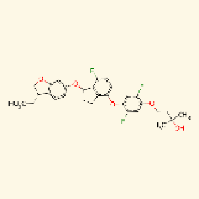 CC(C)(O)CCOc1cc(F)c(Oc2ccc(F)c3c2CC[C@H]3Oc2ccc3c(c2)OC[C@H]3CC(=O)O)cc1F